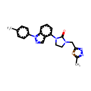 Cc1nnc(CN2CCN(c3cccc4c3cnn4-c3ccc(C(F)(F)F)cc3)C2=O)s1